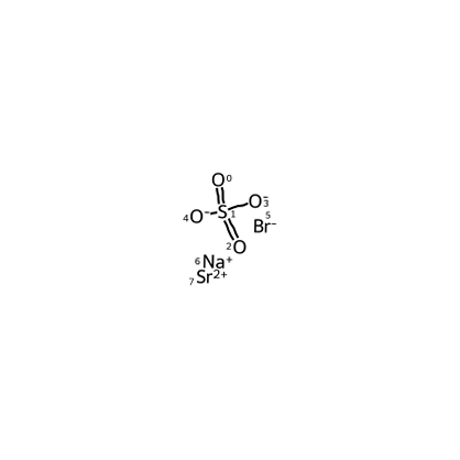 O=S(=O)([O-])[O-].[Br-].[Na+].[Sr+2]